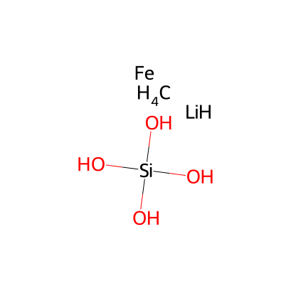 C.O[Si](O)(O)O.[Fe].[LiH]